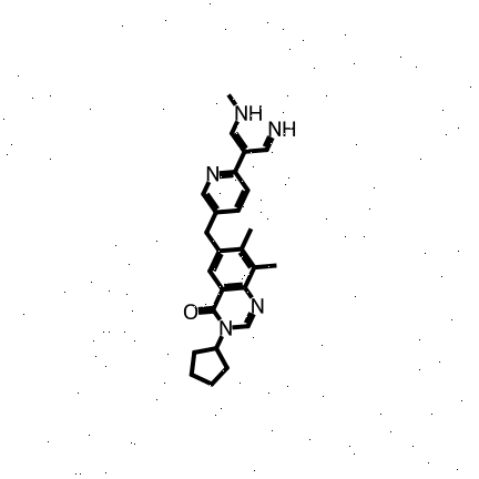 CN/C=C(\C=N)c1ccc(Cc2cc3c(=O)n(C4CCCC4)cnc3c(C)c2C)cn1